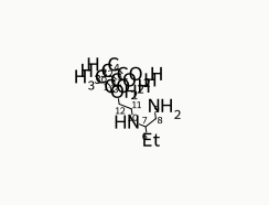 CC(=O)O.CC(=O)O.CC(=O)O.CCC(CN)NCCO